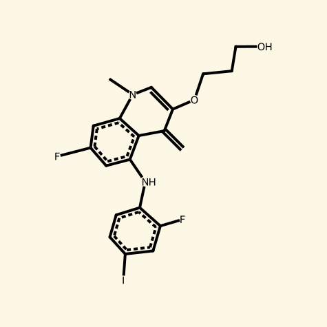 C=C1C(OCCCO)=CN(C)c2cc(F)cc(Nc3ccc(I)cc3F)c21